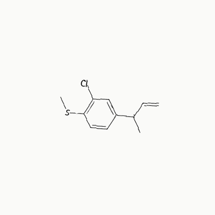 C=C[C](C)c1ccc(SC)c(Cl)c1